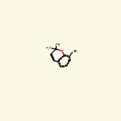 Cc1cccc2c1OC(C)(C)C=C2